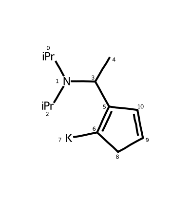 CC(C)N(C(C)C)C(C)C1=[C]([K])CC=C1